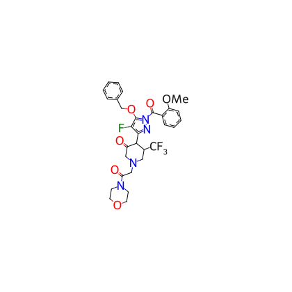 COc1ccccc1C(=O)n1nc(C2C(=O)CN(CC(=O)N3CCOCC3)CC2C(F)(F)F)c(F)c1OCc1ccccc1